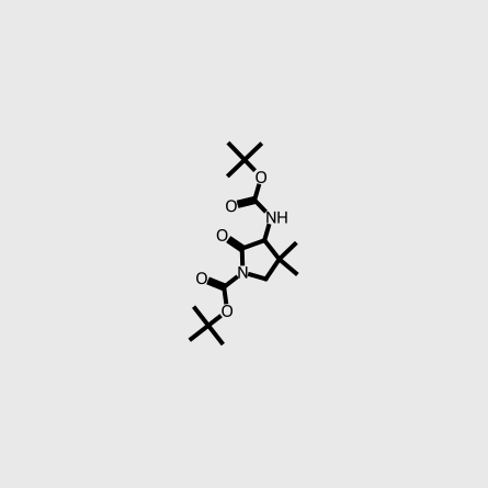 CC(C)(C)OC(=O)NC1C(=O)N(C(=O)OC(C)(C)C)CC1(C)C